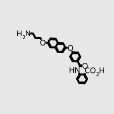 NCCCOc1ccc2cc(Oc3ccc(C(=O)Nc4ccccc4C(=O)O)cc3)ccc2c1